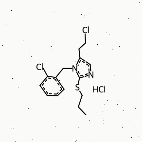 CCCSc1ncc(CCCl)n1Cc1ccccc1Cl.Cl